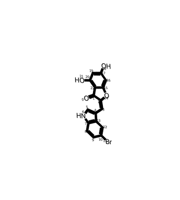 O=C1C(=Cc2c[nH]c3ccc(Br)cc23)Oc2cc(O)cc(O)c21